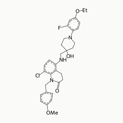 CCOc1ccc(N2CCC(O)(CNc3ccc(Cl)c4c3CCC(=O)N4Cc3ccc(OC)cc3)CC2)c(F)c1